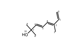 C=CC(C)=CC=CC(C)(C)O